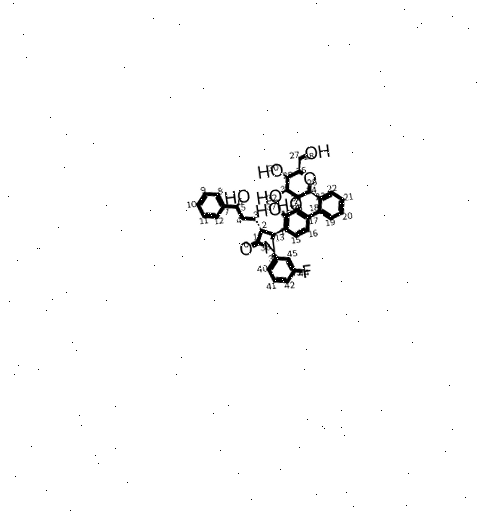 O=C1[C@H](CC[C@H](O)c2ccccc2)[C@@H](c2ccc(-c3ccccc3[C@@H]3O[C@H](CO)[C@@H](O)[C@H](O)[C@H]3O)cc2O)N1c1cccc(F)c1